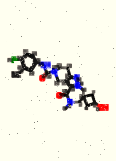 CN1CC2(CC(O)C2)Cn2nc3c(c2C1=O)CN(C(=O)Nc1ccc(F)c(C#N)c1)CC3